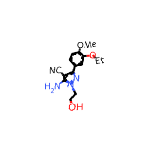 CCOc1cc(-c2nn(CCO)c(N)c2C#N)ccc1OC